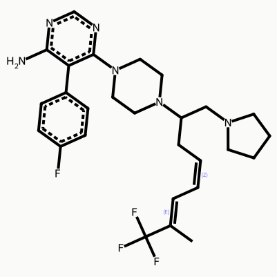 C/C(=C\C=C/CC(CN1CCCC1)N1CCN(c2ncnc(N)c2-c2ccc(F)cc2)CC1)C(F)(F)F